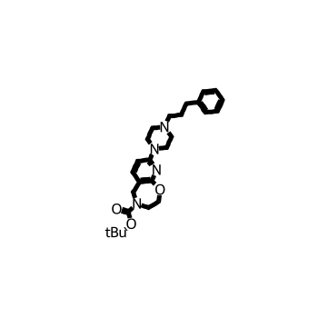 CC(C)(C)OC(=O)N1CCOc2nc(N3CCN(CCCc4ccccc4)CC3)ccc2C1